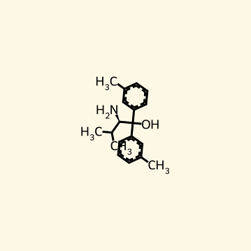 Cc1cccc(C(O)(c2cccc(C)c2)[C@H](N)C(C)C)c1